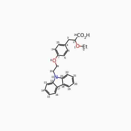 CCOC(Cc1ccc(OCCn2c3ccccc3c3ccccc32)cc1)C(=O)O